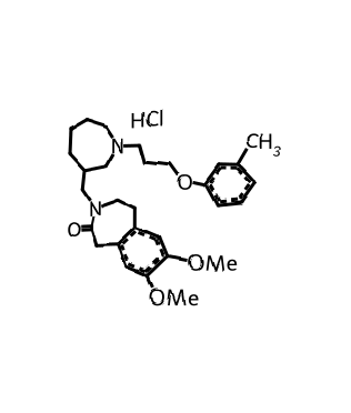 COc1cc2c(cc1OC)CC(=O)N(CC1CCCCN(CCCOc3cccc(C)c3)C1)CC2.Cl